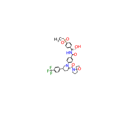 CCS(=O)(=O)c1ccc([C@H](CO)NC(=O)c2ccc(N3CC(c4ccc(C(F)(F)F)cc4)CC[C@H]3C(=O)N3CCCC34CCO4)cc2)cc1